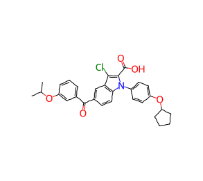 CC(C)Oc1cccc(C(=O)c2ccc3c(c2)c(Cl)c(C(=O)O)n3-c2ccc(OC3CCCC3)cc2)c1